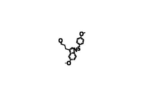 COc1ccc(Sn2cc(CCC=O)c3cc(OC)ccc32)cc1